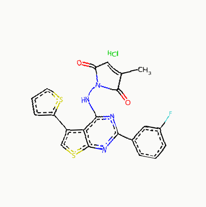 CC1=CC(=O)N(Nc2nc(-c3cccc(F)c3)nc3scc(-c4cccs4)c23)C1=O.Cl